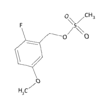 COc1ccc(F)c(COS(C)(=O)=O)c1